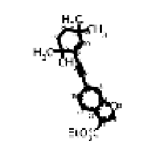 CCOC(=O)c1coc2cc(C#CC3=CC(C)(C)CCC3(C)C)ccc12